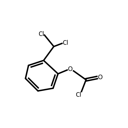 O=C(Cl)Oc1ccccc1C(Cl)Cl